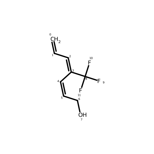 C=C/C=C(\C=C/CO)C(F)(F)F